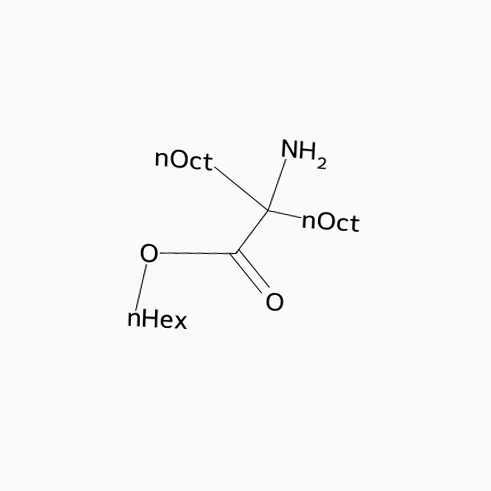 CCCCCCCCC(N)(CCCCCCCC)C(=O)OCCCCCC